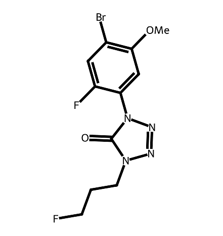 COc1cc(-n2nnn(CCCF)c2=O)c(F)cc1Br